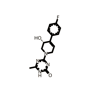 Cc1nc(N2CC=C(c3ccc(F)cc3)[C@@H](O)C2)nc(=O)[nH]1